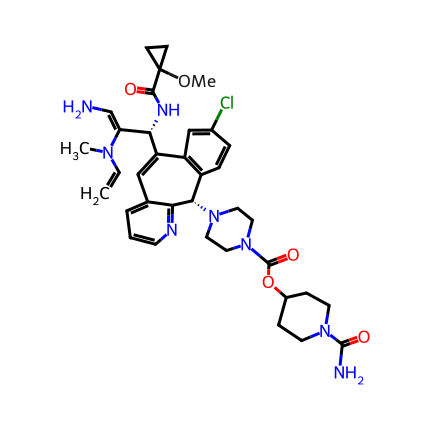 C=CN(C)/C(=C\N)[C@H](NC(=O)C1(OC)CC1)C1=Cc2cccnc2[C@@H](N2CCN(C(=O)OC3CCN(C(N)=O)CC3)CC2)c2ccc(Cl)cc21